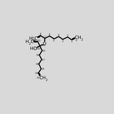 C=CCCCCCC(C=C)OC(O)(C=C)CCCCCC=C